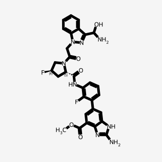 COC(=O)c1cc(-c2cccc(NC(=O)[C@@H]3C[C@@H](F)CN3C(=O)Cn3nc(C(N)O)c4ccccc43)c2F)cc2[nH]c(N)nc12